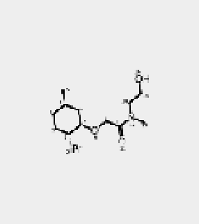 CC(C)[C@@H]1CC[C@@H](C)C[C@H]1OCC(=O)N(C)CCO